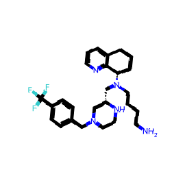 NCCCCN(C[C@H]1CN(Cc2ccc(C(F)(F)F)cc2)CCN1)[C@H]1CCCc2cccnc21